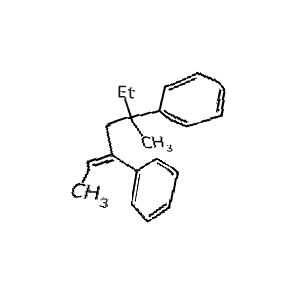 CC=C(CC(C)(CC)c1ccccc1)c1ccccc1